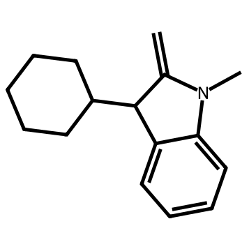 C=C1C(C2CCCCC2)c2ccccc2N1C